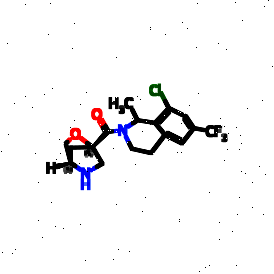 CC1c2c(Cl)cc(C(F)(F)F)cc2CCN1C(=O)[C@]12CN[C@H](CO1)C2